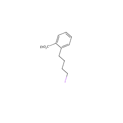 CCOC(=O)c1ccccc1CCCCI